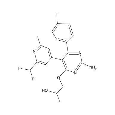 Cc1cc(-c2c(OCC(C)O)nc(N)nc2-c2ccc(F)cc2)cc(C(F)F)n1